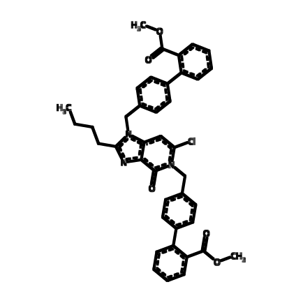 CCCCc1nc2c(=O)n(Cc3ccc(-c4ccccc4C(=O)OC)cc3)c(Cl)cc2n1Cc1ccc(-c2ccccc2C(=O)OC)cc1